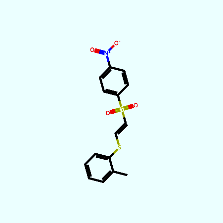 Cc1ccccc1SC=CS(=O)(=O)c1ccc([N+](=O)[O-])cc1